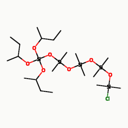 CCC(C)O[Si](OC(C)CC)(OC(C)CC)O[Si](C)(C)O[Si](C)(C)O[Si](C)(C)O[Si](C)(C)Cl